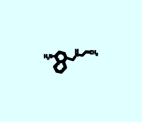 C=CCNCc1ccc(N)c2ccccc12